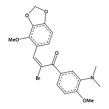 COc1ccc(C(=O)/C(Br)=C\c2ccc3c(c2OC)OCO3)cc1N(C)C